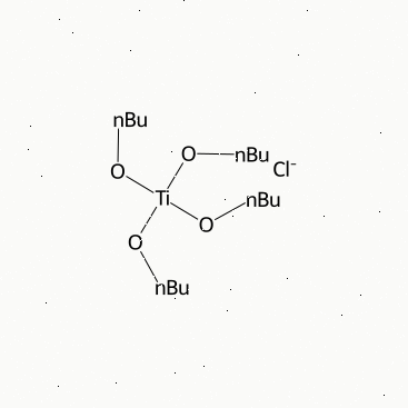 CCCC[O][Ti]([O]CCCC)([O]CCCC)[O]CCCC.[Cl-]